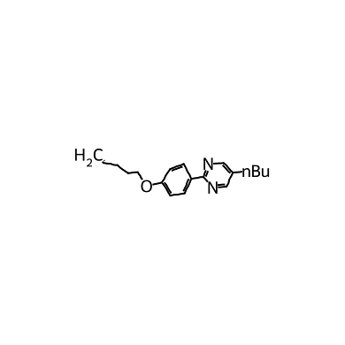 C=CCCCOc1ccc(-c2ncc(CCCC)cn2)cc1